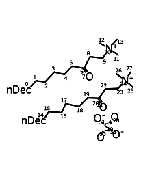 CCCCCCCCCCCCCCCC(=O)CC[N+](C)(C)C.CCCCCCCCCCCCCCCC(=O)CC[N+](C)(C)C.O=S(=O)([O-])[O-]